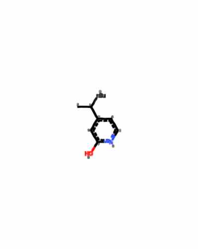 CCCCC(C)c1ccnc(O)c1